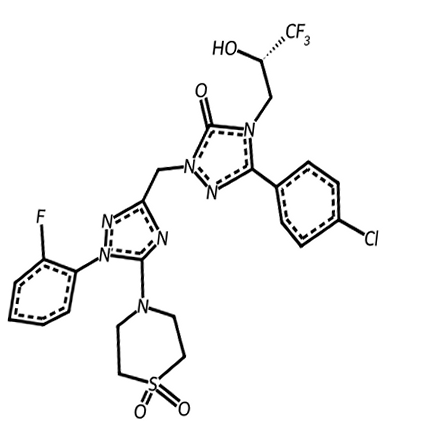 O=c1n(Cc2nc(N3CCS(=O)(=O)CC3)n(-c3ccccc3F)n2)nc(-c2ccc(Cl)cc2)n1C[C@H](O)C(F)(F)F